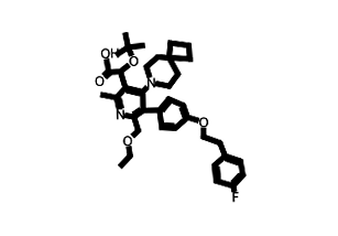 CCOCc1nc(C)c(C(OC(C)(C)C)C(=O)O)c(N2CCC3(CCC3)CC2)c1-c1ccc(OCCc2ccc(F)cc2)cc1